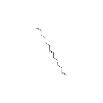 C=CCCCCC=CCCCCC=C